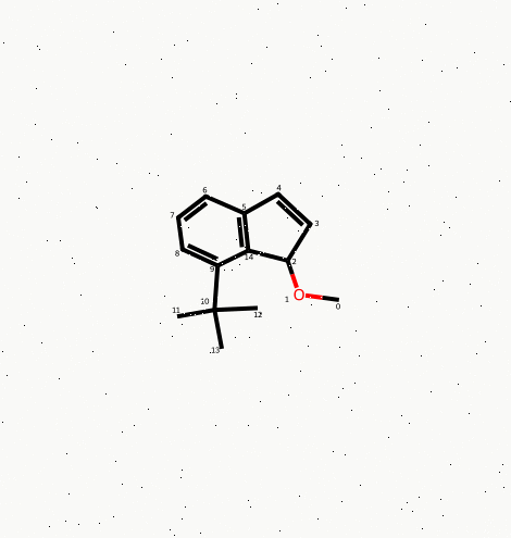 COC1C=Cc2cccc(C(C)(C)C)c21